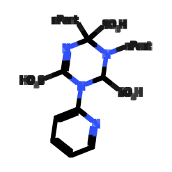 CCCCCN1C(S(=O)(=O)O)N(c2ccccn2)C(S(=O)(=O)O)=NC1(CCCCC)S(=O)(=O)O